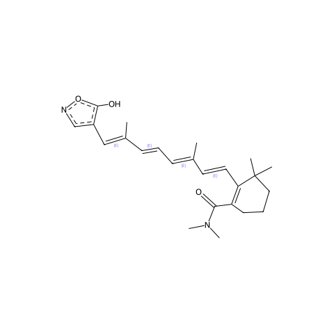 CC(/C=C/C1=C(C(=O)N(C)C)CCCC1(C)C)=C\C=C\C(C)=C\c1cnoc1O